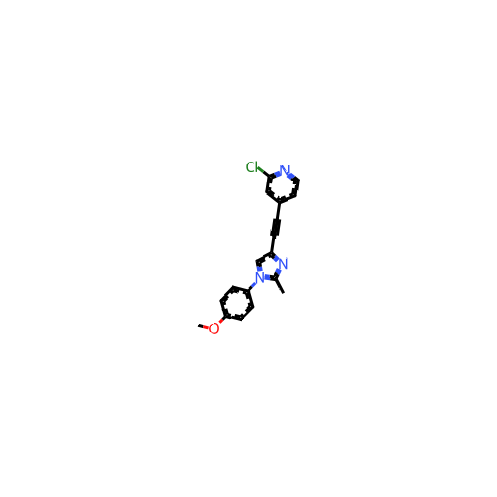 COc1ccc(-n2cc(C#Cc3ccnc(Cl)c3)nc2C)cc1